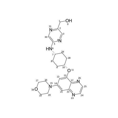 OCc1cnc(N[C@H]2CC[C@@H](Oc3cc(N4CCOCC4)cc4nccnc34)CC2)cn1